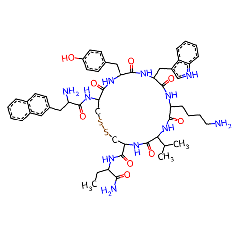 CCC(NC(=O)C1CSSCC(NC(=O)C(N)Cc2ccc3ccccc3c2)C(=O)NC(Cc2ccc(O)cc2)C(=O)NC(Cc2c[nH]c3ccccc23)C(=O)NC(CCCCN)C(=O)NC(C(C)C)C(=O)N1)C(N)=O